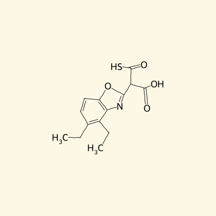 CCc1ccc2oc(C(C(=O)O)C(=O)S)nc2c1CC